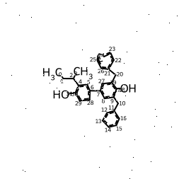 CCC(C)c1cc(-c2cc(Cc3ccccc3)c(O)c(Cc3ccccc3)c2)ccc1O